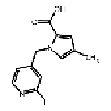 Cc1cc(C(=O)O)n(Cc2ccnc(F)c2)c1